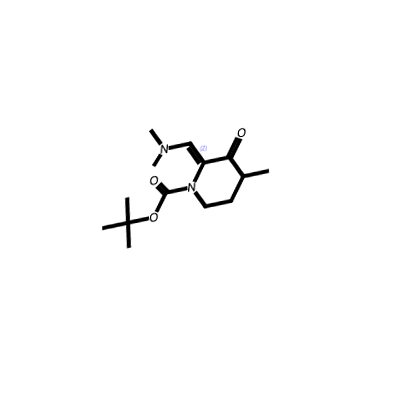 CC1CCN(C(=O)OC(C)(C)C)/C(=C\N(C)C)C1=O